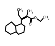 CCOC(=O)C(C)=C(CC)C1CCCC2CCCCC21